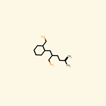 C=C(C)CCC(CP)CC1CCCCC1CP